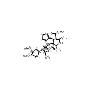 COC(=O)C1=C(C)NC(C)C(Nc2nc(-c3ccc(OC)c(OC)c3)c(C)s2)(C(=O)OC)C1c1ccccc1